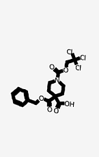 O=C(OCC(Cl)(Cl)Cl)N1CCC(C(=O)O)(C(=O)OCc2ccccc2)CC1